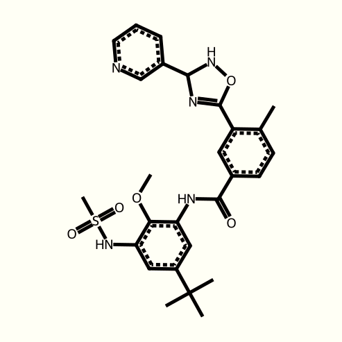 COc1c(NC(=O)c2ccc(C)c(C3=NC(c4cccnc4)NO3)c2)cc(C(C)(C)C)cc1NS(C)(=O)=O